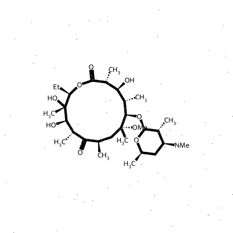 CC[C@H]1OC(=O)[C@H](C)[C@@H](O)[C@H](C)[C@@H](O[C@@H]2O[C@H](C)C[C@H](NC)[C@H]2C)[C@](C)(OC)C[C@@H](C)C(=O)[C@H](C)[C@@H](O)[C@]1(C)O